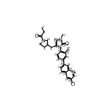 CCC(=O)N1CCC(Cc2nn(C)c(=O)n2-c2ccc(-c3ccc4cc(Cl)cnc4c3)cc2F)C1